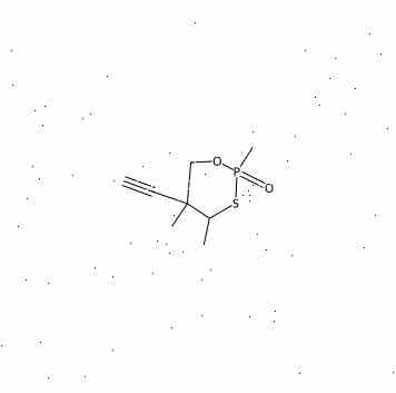 C#CC1(C)COP(C)(=O)SC1C